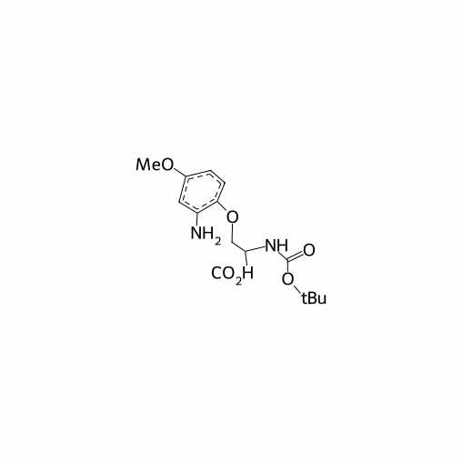 COc1ccc(OCC(NC(=O)OC(C)(C)C)C(=O)O)c(N)c1